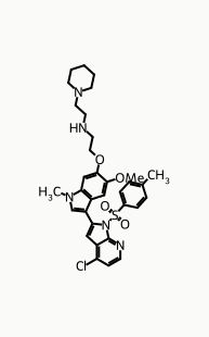 COc1cc2c(-c3cc4c(Cl)ccnc4n3S(=O)(=O)c3ccc(C)cc3)cn(C)c2cc1OCCNCCN1CCCCC1